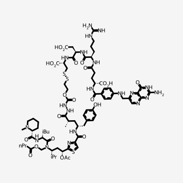 CCCC(=O)OCN(C(=O)C(NC(=O)[C@H]1CCCCN1C)[C@@H](C)CC)[C@H](C[C@@H](OC(C)=O)c1nc(C(=O)N[C@@H](Cc2ccc(O)cc2)C[C@H](C)C(=O)NNC(=O)OCCSSC[C@@H](NC(=O)[C@@H](CC(=O)O)NC(=O)[C@@H](CCCNC(=N)N)NC(=O)CC[C@@H](NC(=O)c2ccc(NCc3cnc4nc(N)[nH]c(=O)c4n3)cc2)C(=O)O)C(=O)O)cs1)C(C)C